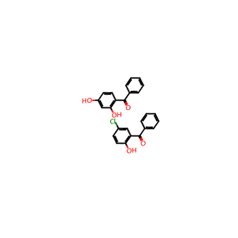 O=C(c1ccccc1)c1cc(Cl)ccc1O.O=C(c1ccccc1)c1ccc(O)cc1O